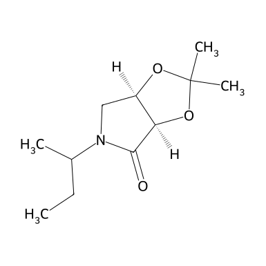 CCC(C)N1C[C@H]2OC(C)(C)O[C@H]2C1=O